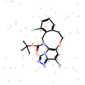 CC(C)(C)OC(=O)N1Cc2c(F)cccc2CCOc2cc(Br)c3nncn3c21